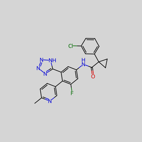 Cc1ccc(-c2c(F)cc(NC(=O)C3(c4cccc(Cl)c4)CC3)cc2-c2nnn[nH]2)cn1